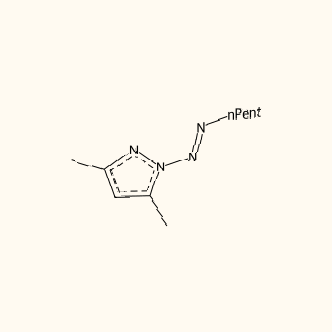 CCCCCN=Nn1nc(C)cc1C